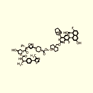 C#Cc1c(F)ccc2cc(O)cc(-c3ncc4c(N5CC6CCC(C5)N6)nc(OC[C@@]56CCCN5[C@H](COC(=O)N5CCN(c7cc([C@H](C(=O)N8C[C@H](O)C[C@H]8C(=O)N[C@@H](C)c8ccc(-c9scnc9C)cc8)C(C)C)on7)CC5)CC6)nc4c3F)c12